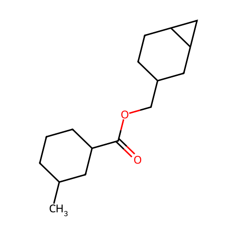 CC1CCCC(C(=O)OCC2CCC3CC3C2)C1